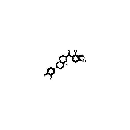 O=C(c1ccc2[nH]ncc2c1Cl)N1CCN2C[C@@H](c3ccc(F)c(Cl)c3)CC[C@@H]2C1